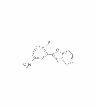 O=[N+]([O-])c1ccc(F)c(-c2nc3ccccc3o2)c1